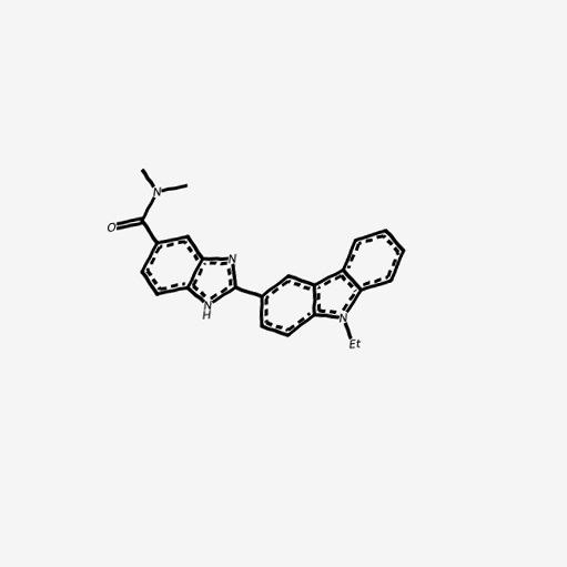 CCn1c2ccccc2c2cc(-c3nc4cc(C(=O)N(C)C)ccc4[nH]3)ccc21